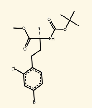 COC(=O)[C@](C)(CCc1ccc(Br)cc1Cl)NC(=O)OC(C)(C)C